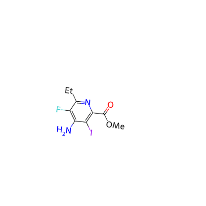 CCc1nc(C(=O)OC)c(I)c(N)c1F